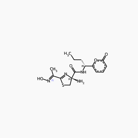 CCC[C@@H](NC(=O)[C@]1(N)CSC(/C(C)=N/O)=N1)c1cccc(=O)o1